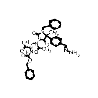 CC(=O)N(C[C@H](NC(=O)OCc1ccccc1)C(=O)O)N1C(=O)N(Cc2ccccc2)[C@](C)(c2ccc(C=NN)cc2)C1=O